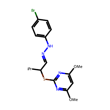 COc1cc(OC)nc(SC(/C=N/Nc2ccc(Br)cc2)C(C)C)n1